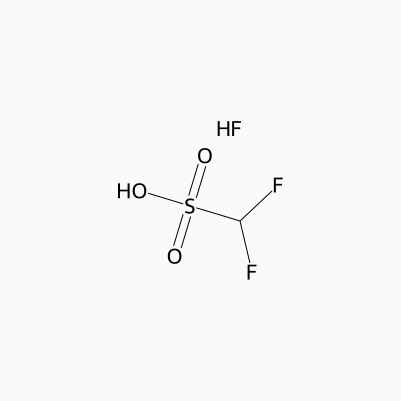 F.O=S(=O)(O)C(F)F